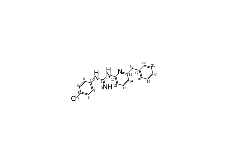 N=C(Nc1ccc(Cl)cc1)Nc1cccc(Cc2ccccc2)n1